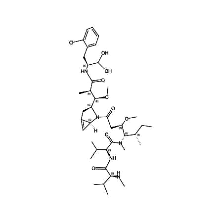 CC[C@H](C)[C@@H]([C@@H](CC(=O)N1[C@H]2C=C2C[C@H]1[C@H](OC)[C@@H](C)C(=O)N[C@@H](Cc1ccccc1Cl)C(O)O)OC)N(C)C(=O)[C@@H](NC(=O)[C@@H](NC)C(C)C)C(C)C